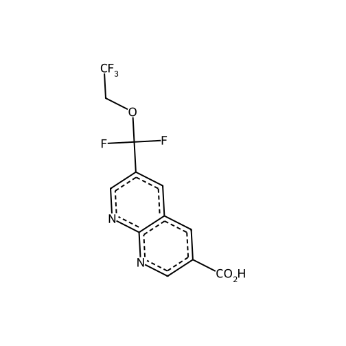 O=C(O)c1cnc2ncc(C(F)(F)OCC(F)(F)F)cc2c1